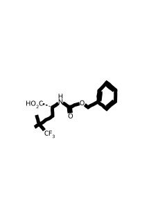 CC(C)(C[C@@H](NC(=O)OCc1ccccc1)C(=O)O)C(F)(F)F